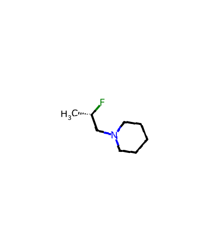 C[C@H](F)CN1CCCCC1